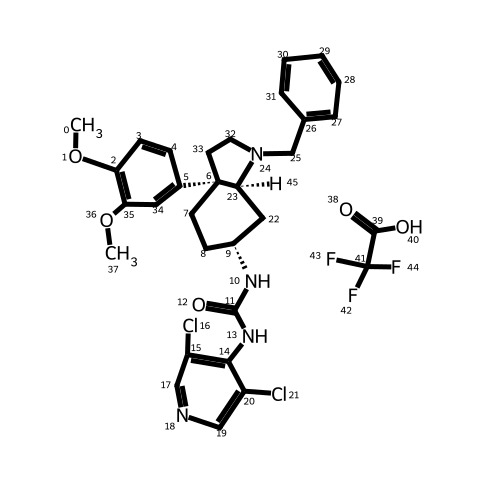 COc1ccc([C@@]23CC[C@@H](NC(=O)Nc4c(Cl)cncc4Cl)C[C@@H]2N(Cc2ccccc2)CC3)cc1OC.O=C(O)C(F)(F)F